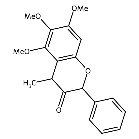 COc1cc2c(c(OC)c1OC)C(C)C(=O)C(c1ccccc1)O2